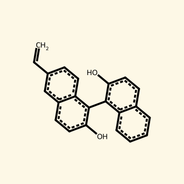 C=Cc1ccc2c(-c3c(O)ccc4ccccc34)c(O)ccc2c1